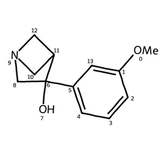 COc1cccc(C2(O)CN3CC2C3)c1